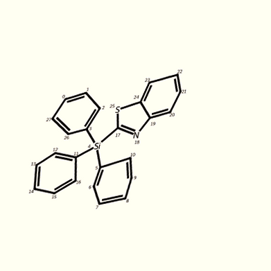 c1ccc([Si](c2ccccc2)(c2ccccc2)c2nc3ccccc3s2)cc1